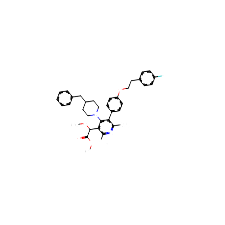 Cc1nc(C)c(C(OC(C)(C)C)C(=O)OC(C)C)c(N2CCC(Cc3ccccc3)CC2)c1-c1ccc(OCCc2ccc(F)cc2)cc1